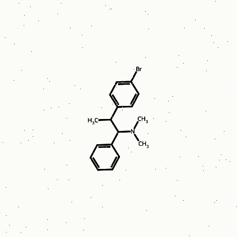 CC(c1ccc(Br)cc1)C(c1ccccc1)N(C)C